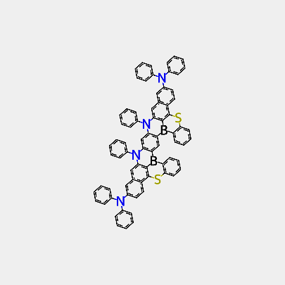 c1ccc(N(c2ccccc2)c2ccc3c4c5c(cc3c2)N(c2ccccc2)c2cc3c(cc2B5c2ccccc2S4)B2c4ccccc4Sc4c2c(cc2cc(N(c5ccccc5)c5ccccc5)ccc42)N3c2ccccc2)cc1